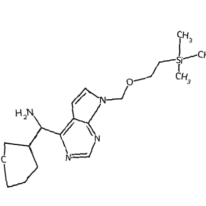 C[Si](C)(C)CCOCn1ccc2c(C(N)C3CCCCC3)ncnc21